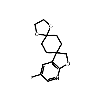 Ic1cnc2c(c1)C1(CCC3(CC1)OCCO3)CO2